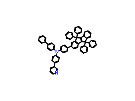 c1ccc(-c2ccc(N(c3ccc(-c4cccnc4)cc3)c3ccc(-c4ccc5c(c4)C(c4ccccc4)(c4ccccc4)C4=C5C(c5ccccc5)(c5ccccc5)c5ccccc54)cc3)cc2)cc1